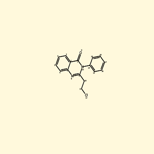 O=c1c2ccccc2nc(CCCl)n1-c1ccccc1